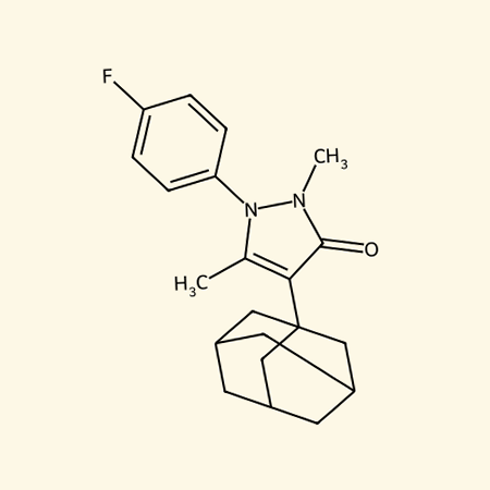 Cc1c(C23CC4CC(CC(C4)C2)C3)c(=O)n(C)n1-c1ccc(F)cc1